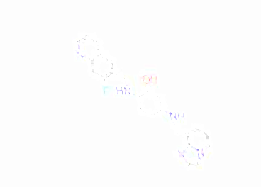 O[C@@H]1C[C@@H](NCc2cccn3ccnc23)CC[C@@H]1NCc1cc2cccnc2cc1F